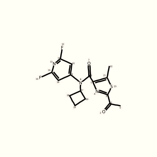 CC(=O)c1nc(C(=O)N(c2cc(F)nc(F)c2)C2CCC2)c(C)s1